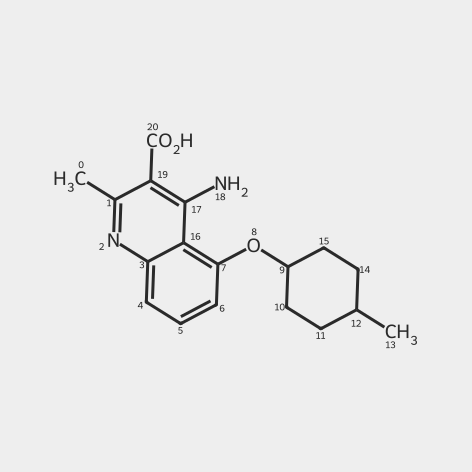 Cc1nc2cccc(OC3CCC(C)CC3)c2c(N)c1C(=O)O